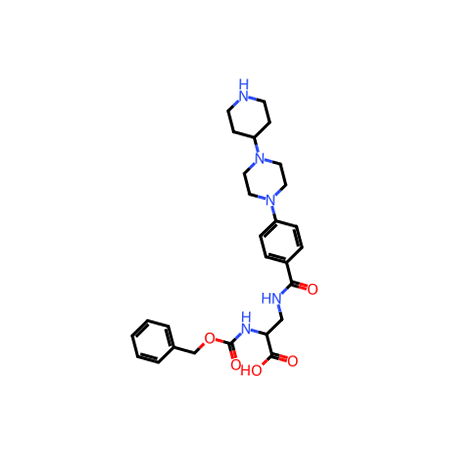 O=C(NC(CNC(=O)c1ccc(N2CCN(C3CCNCC3)CC2)cc1)C(=O)O)OCc1ccccc1